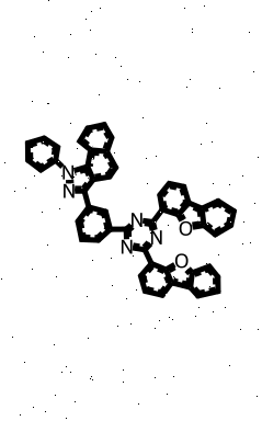 c1ccc(-n2nc(-c3cccc(-c4nc(-c5cccc6c5oc5ccccc56)nc(-c5cccc6c5oc5ccccc56)n4)c3)c3ccc4ccccc4c32)cc1